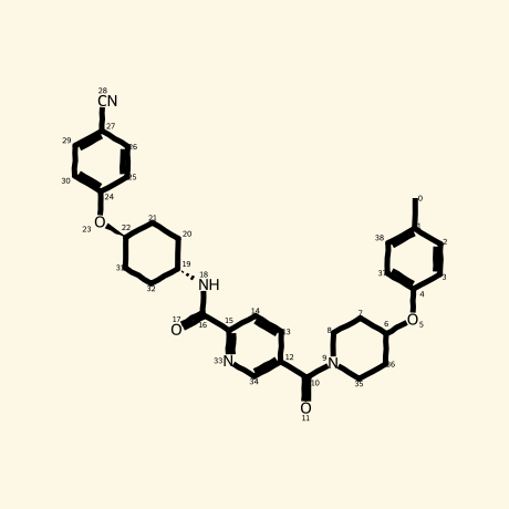 Cc1ccc(OC2CCN(C(=O)c3ccc(C(=O)N[C@H]4CC[C@H](Oc5ccc(C#N)cc5)CC4)nc3)CC2)cc1